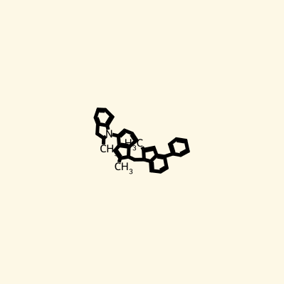 CC1=Cc2c(-c3ccccc3)cccc2C1CC1C(C)=Cc2c1cccc2N1c2ccccc2CC1C